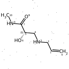 C=CCNC[C@H](O)C(=O)NC